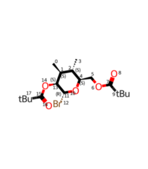 C[C@H]1[C@H](C)[C@@H](COC(=O)C(C)(C)C)O[C@H](Br)[C@H]1OC(=O)C(C)(C)C